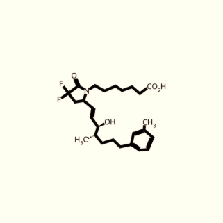 Cc1cccc(CCC[C@H](C)[C@H](O)C=CC2CC(F)(F)C(=O)N2CCCCCCC(=O)O)c1